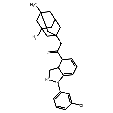 CC12CC3CC(C)(C1)CC(NC(=O)C1C=CC=C4C1CNN4c1cccc(Cl)c1)(C3)C2